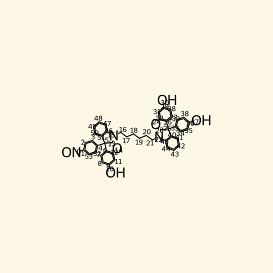 O=Nc1ccc(C2(c3ccc(O)cc3)C(=O)N(CCCCCCN3C(=O)C(c4ccc(O)cc4)(c4ccc(O)cc4)c4ccccc43)c3ccccc32)cc1